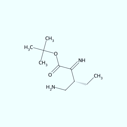 CC[C@H](CN)C(=N)C(=O)OC(C)(C)C